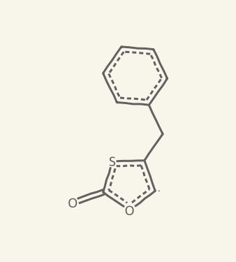 O=c1o[c]c(Cc2ccccc2)s1